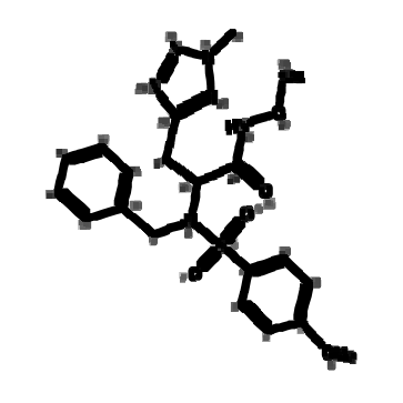 COc1ccc(S(=O)(=O)N(Cc2ccccc2)C(Cc2nnn(C)n2)C(=O)NOC(C)(C)C)cc1